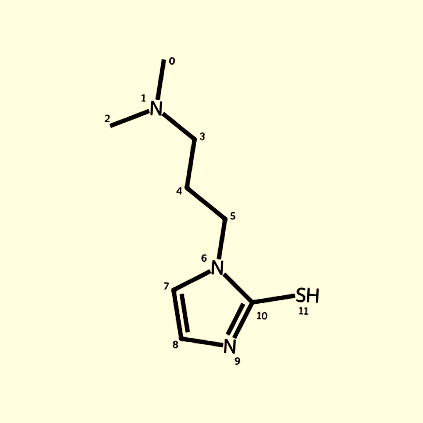 CN(C)CCCn1ccnc1S